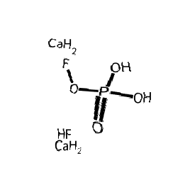 F.O=P(O)(O)OF.[CaH2].[CaH2]